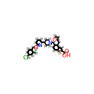 O=C(O)c1cc2c(CC3CCO3)c(CN3CCC(c4cccc(OCc5ccc(Cl)cc5F)n4)CC3)ccc2s1